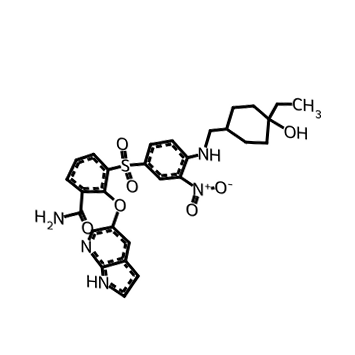 CCC1(O)CCC(CNc2ccc(S(=O)(=O)c3cccc(C(N)=O)c3Oc3cnc4[nH]ccc4c3)cc2[N+](=O)[O-])CC1